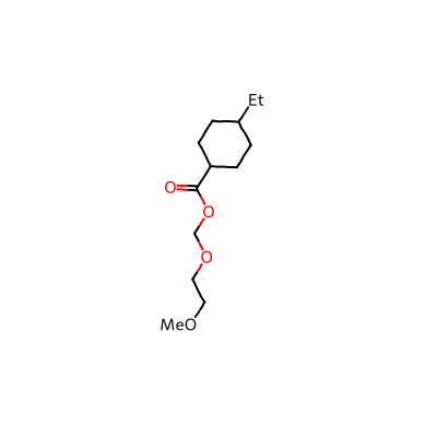 CCC1CCC(C(=O)OCOCCOC)CC1